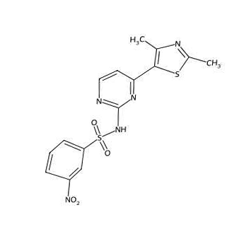 Cc1nc(C)c(-c2ccnc(NS(=O)(=O)c3cccc([N+](=O)[O-])c3)n2)s1